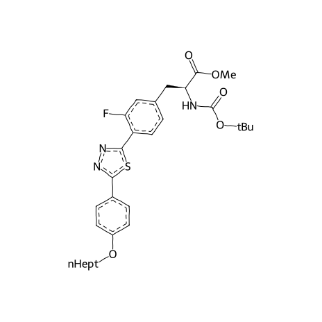 CCCCCCCOc1ccc(-c2nnc(-c3ccc(C[C@H](NC(=O)OC(C)(C)C)C(=O)OC)cc3F)s2)cc1